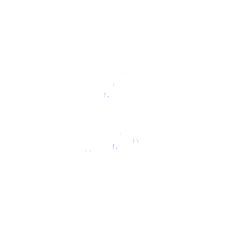 CC(C)C1(N=C=O)C=CC(N=C=O)=CC1